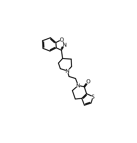 O=C1c2sccc2CCN1CCN1CCC(c2noc3ccccc23)CC1